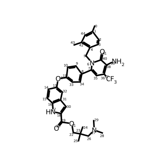 Cc1ccc(Cn2c(-c3ccc(Oc4ccc5[nH]c(C(=O)OCC(C)(C)CN(C)C)cc5c4)cc3)cc(C(F)(F)F)c(N)c2=O)c(C)c1